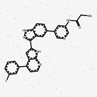 CC(C)(C)CC(=O)Nc1cncc(-c2ccc3[nH]nc(-c4cc5c(-c6cccc(F)c6)ccnc5[nH]4)c3c2)c1